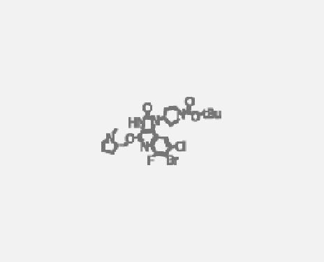 CN1CCC[C@H]1COc1nc2c(F)c(Br)c(Cl)cc2c2c1[nH]c(=O)n2C1CCN(C(=O)OC(C)(C)C)CC1